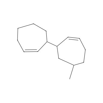 CC1CCC=CC(C2C=CCCCC2)C1